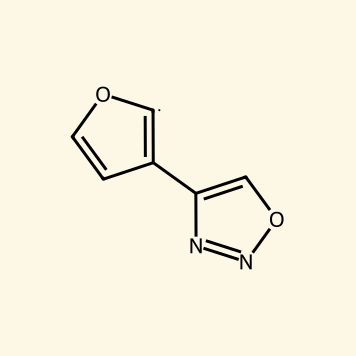 [c]1occc1-c1conn1